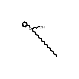 CCCCCCCCCCCCCCCCCC(CCCO)OCc1ccccc1